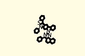 c1ccc(-c2nc(-n3c4ccccc4c4cc5c6c7ccccc7sc6n(-c6ccccc6)c5cc43)nc3c2ccc2ccccc23)cc1